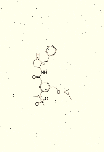 CC1CC1OCc1cc(C(=O)NC2CCN[C@H]2Cc2ccccc2)cc(N(C)S(C)(=O)=O)c1